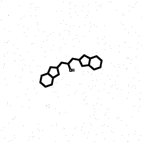 OC(CC1CC2CCCCC2C1)CC1CC2CCCCC2C1